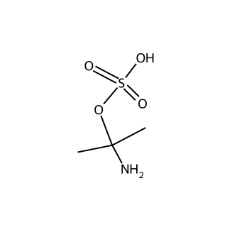 CC(C)(N)OS(=O)(=O)O